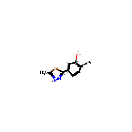 Cc1nnc(-c2ccc(C(C)C)c(O)c2)s1